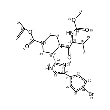 C=C(C)OC(=O)N1CCN(C(=O)[C@@H](NC(=O)OC)C(C)C)[C@H](c2nc(-c3ccc(Br)cc3)c[nH]2)C1